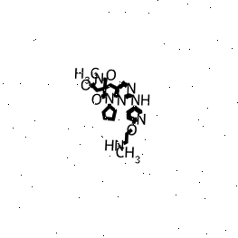 CNCCOc1ccc(Nc2ncc3c(n2)N(C2CCCC2)C(=O)C2(CC(=O)N(C)C2=O)C3)cn1